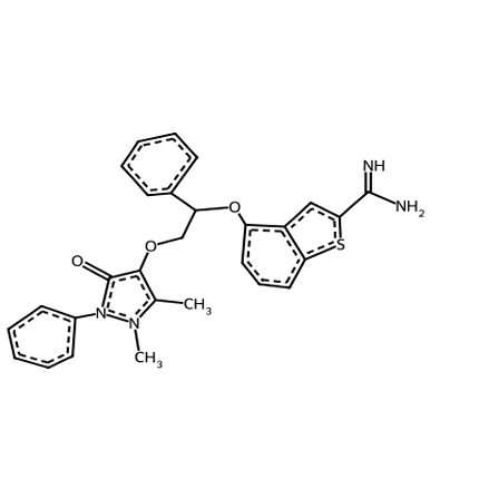 Cc1c(OCC(Oc2cccc3sc(C(=N)N)cc23)c2ccccc2)c(=O)n(-c2ccccc2)n1C